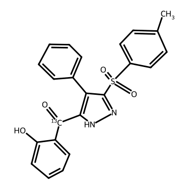 Cc1ccc(S(=O)(=O)c2n[nH]c([13C](=O)c3ccccc3O)c2-c2ccccc2)cc1